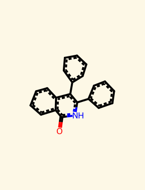 O=c1[nH]c(-c2ccccc2)c(-c2ccccc2)c2ccccc12